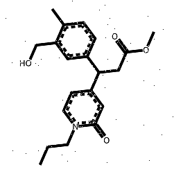 CCCn1ccc(C(CC(=O)OC)c2ccc(C)c(CO)c2)cc1=O